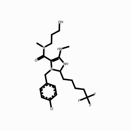 CNC1=C(C(=O)N(C)CCCO)N(Cc2ccc(Cl)cc2)C(CCCCC(F)(F)F)N1